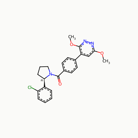 COc1cc(-c2ccc(C(=O)N3CCC[C@@H]3c3ccccc3Cl)cc2)c(OC)nn1